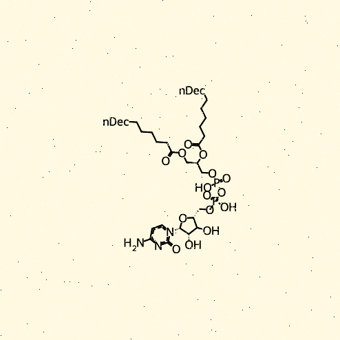 CCCCCCCCCCCCCCCC(=O)OC[C@H](COP(=O)(O)OP(=O)(O)OC[C@H]1O[C@@H](n2ccc(N)nc2=O)[C@@H](O)C1O)OC(=O)CCCCCCCCCCCCCCC